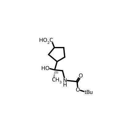 CC(C)(C)OC(=O)NC[C@@](C)(O)C1CCC(C(=O)O)C1